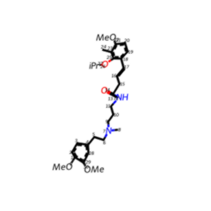 COc1ccc(CCN(C)CCCNC(=O)C/C=C/c2ccc(OC)c(C)c2OC(C)C)cc1OC